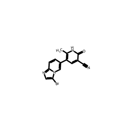 Cc1[nH]c(=O)c(C#N)cc1-c1ccc2ncc(Br)n2c1